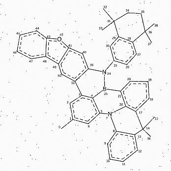 Cc1cc2c3c(c1)N1c4ccccc4C(C)(C)c4cccc(c41)B3N(c1ccc3c(c1)C(C)(C)CCC3(C)C)c1cc3oc4ccccc4c3cc1-2